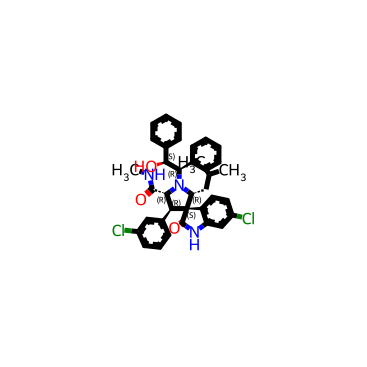 CNC(=O)[C@H]1[C@H](c2cccc(Cl)c2)[C@@]2(C(=O)Nc3cc(Cl)ccc32)[C@@H](CC(C)C)N1[C@H](c1ccccc1)[C@@H](O)c1ccccc1